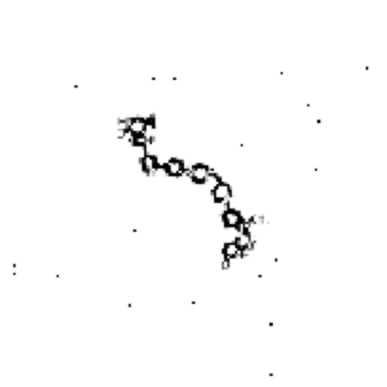 Cn1c(=O)n(C2CCC(=O)NC2=O)c2ccc(N3CCC(CN4CCN(c5ccc(-c6cc(-c7cc8c([nH]7)C7(CC7)CNC8=O)ccn6)cc5)CC4)CC3)cc21